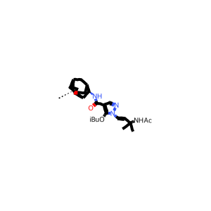 CC(=O)NC(C)(C)/C=C/n1ncc(C(=O)N[C@@H]2C3CC4CC(C3)C2C[C@@H](C)C4)c1OCC(C)C